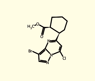 COC(=O)[C@H]1CCCC[C@H]1c1cc(Cl)n2ncc(Br)c2n1